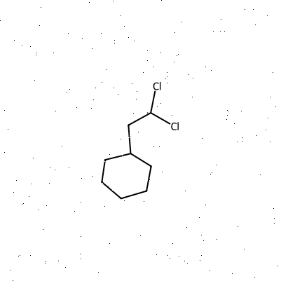 Cl[C](Cl)CC1CCCCC1